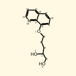 OCC(O)CCCOc1cccc2cccnc12